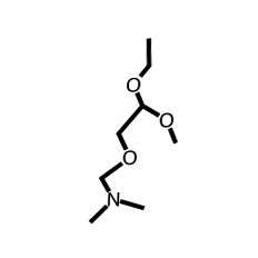 CCOC(COCN(C)C)OC